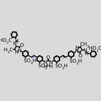 CC1=NN(c2ccc(/C=C/c3ccc(NC(=O)Nc4ccc(/C=C/c5ccc(N6N=C(C)C(N=Nc7ccccc7C(=O)O)C6=O)cc5S(=O)(=O)O)cc4S(=O)(=O)O)c(S(=O)(=O)O)c3)c(S(=O)(=O)O)c2)C(=O)C1N=Nc1ccccc1C(=O)O